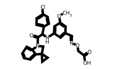 COc1cc(C=NOCC(=O)O)cc(NC(C(=O)N2CC3(CC3)c3ccccc32)c2ccc(Cl)cc2)c1